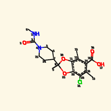 CNC(=O)N1CCC(C2(C)Oc3c(C)c(C(=O)O)c(C)c(Cl)c3O2)CC1